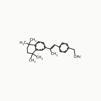 CC(=O)OCc1ccc(C=C(C)c2ccc3c(c2)C(C)(C)CCC3(C)C)cc1